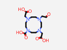 O=CCN1CCN(CC(=O)O)CCN(C(=O)O)CCN(CC(=O)O)CC1